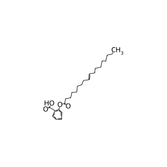 CCCCCCCC/C=C/CCCCCCCC(=O)Oc1ccccc1C(=O)O